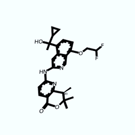 C[C@@H]1c2nc(Nc3cc4c(C(C)(O)C5CC5)ccc(OCC(F)F)c4cn3)ccc2C(=O)OC1(C)C